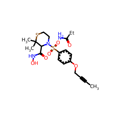 CC#CCOc1ccc(S(=O)(=O)N2CCSC(C)(C)C2C(=O)NO)cc1.CCC(N)=O